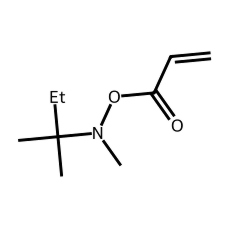 C=CC(=O)ON(C)C(C)(C)CC